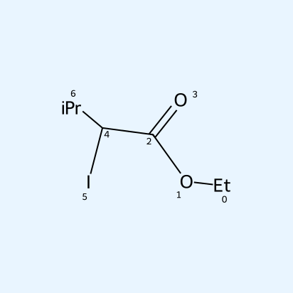 CCOC(=O)C(I)C(C)C